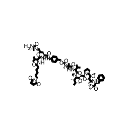 CC[C@H](C)[C@@H]([C@@H](CC(=O)N1CCC[C@H]1[C@H](OC)[C@@H](C)C(=S)N[C@@H](Cc1ccccc1)C(=O)OC)OC)N(C)C(=O)[C@@H](NC(=O)C(C)(C)N(C)C(=O)OCc1ccc(NC(=O)[C@H](CCCNC(N)=O)NC(=O)[C@@H](NC(=O)CCCCCN2C(=O)C=CC2=O)C(C)C)cc1)C(C)C